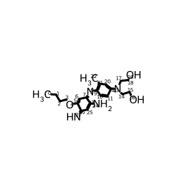 CCCCOC1=C/C(=N/c2ccc(N(CCO)CCO)cc2C)C(N)=CC1=N